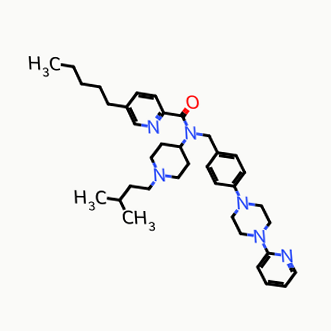 CCCCCc1ccc(C(=O)N(Cc2ccc(N3CCN(c4ccccn4)CC3)cc2)C2CCN(CCC(C)C)CC2)nc1